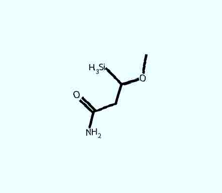 COC([SiH3])CC(N)=O